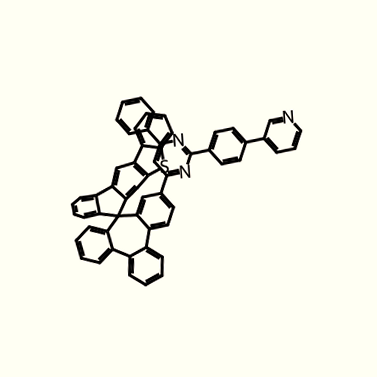 c1ccc(-c2cc(-c3ccc4c(c3)C3(c5ccccc5-c5ccccc5-4)c4ccccc4-c4cc5c(cc43)sc3ccccc35)nc(-c3ccc(-c4cccnc4)cc3)n2)cc1